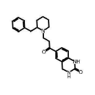 O=C1NCc2cc(C(=O)CCN3CCCCC3Cc3ccccc3)ccc2N1